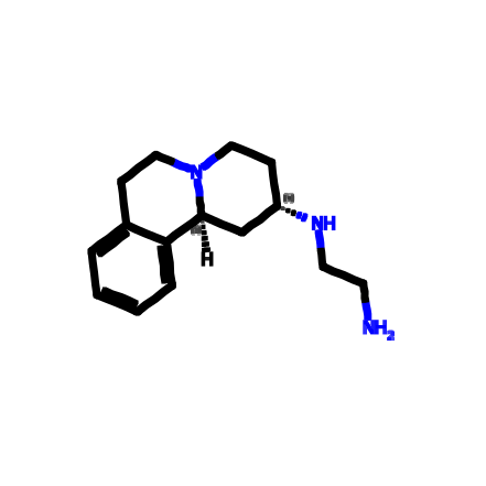 NCCN[C@H]1CCN2CCc3ccccc3[C@@H]2C1